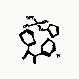 C=C(C(=C)c1ccccc1)c1ccccc1.CCCP(CCC)(CCC)=NC1=CC=CC1.[Ti]